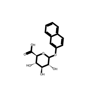 O=C(O)[C@H]1OC(Oc2ccc3ccccc3c2)[C@H](O)[C@@H](O)[C@@H]1O